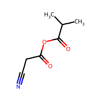 CC(C)C(=O)OC(=O)CC#N